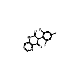 O=C1Nc2cncnc2C(=O)C1c1c(F)cc(F)cc1F